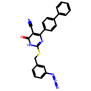 N#Cc1c(-c2ccc(-c3ccccc3)cc2)nc(SCc2cccc(N=[N+]=[N-])c2)[nH]c1=O